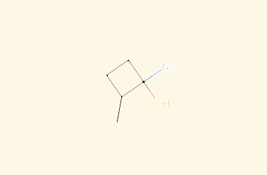 CC1CCC1(N)O.Cl